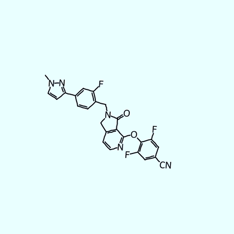 Cn1ccc(-c2ccc(CN3Cc4ccnc(Oc5c(F)cc(C#N)cc5F)c4C3=O)c(F)c2)n1